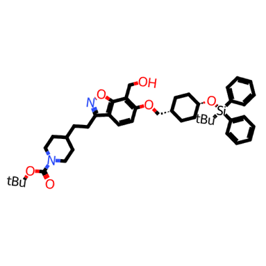 CC(C)(C)OC(=O)N1CCC(CCc2noc3c(CO)c(OC[C@H]4CC[C@@H](O[Si](c5ccccc5)(c5ccccc5)C(C)(C)C)CC4)ccc23)CC1